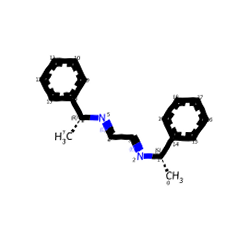 C[C@H](/N=C/C=N/[C@H](C)c1ccccc1)c1ccccc1